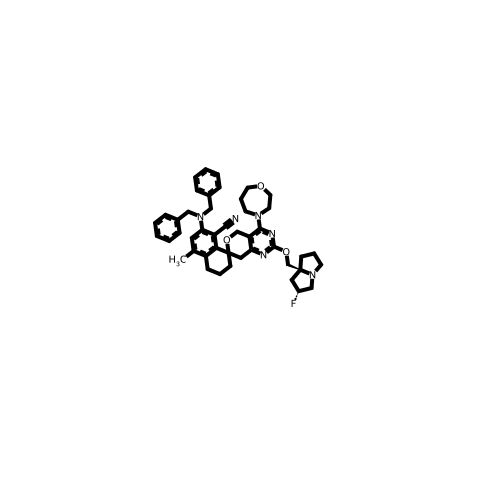 Cc1cc(N(Cc2ccccc2)Cc2ccccc2)c(C#N)c2c1CCCC21Cc2nc(OC[C@@]34CCCN3C[C@H](F)C4)nc(N3CCCOCC3)c2CO1